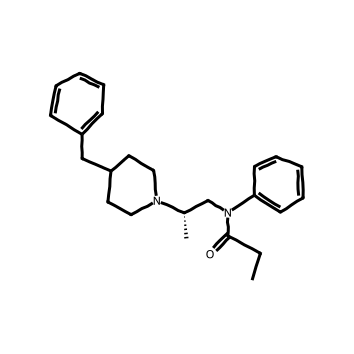 CCC(=O)N(C[C@H](C)N1CCC(Cc2ccccc2)CC1)c1ccccc1